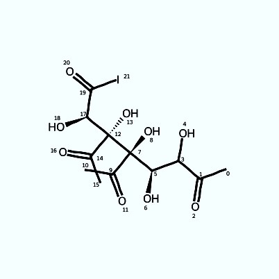 CC(=O)C(O)[C@@H](O)[C@](O)(C(C)=O)[C@@](O)(C(C)=O)[C@@H](O)C(=O)I